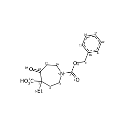 CCC1(C(=O)O)CCN(C(=O)OCc2ccccc2)CCC1=O